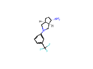 N[C@H]1CC[C@@H]2CN(c3cccc(C(F)(F)F)c3)C[C@@H]21